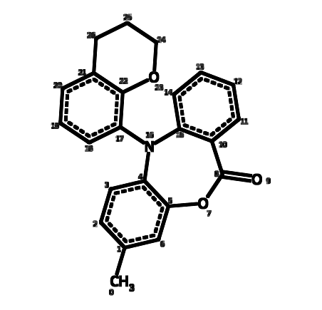 Cc1ccc2c(c1)OC(=O)c1ccccc1N2c1cccc2c1OCCC2